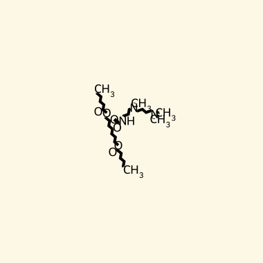 CCCCCC(=O)OCCCC(CCCOC(=O)CCCCC)OC(=O)NCCCN(C)CCCCN(C)C